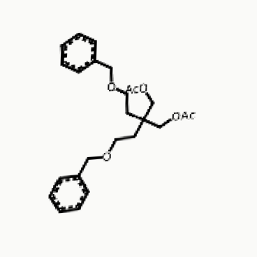 CC(=O)OCC(CCOCc1ccccc1)(CCOCc1ccccc1)COC(C)=O